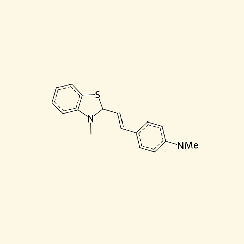 CNc1ccc(C=CC2Sc3ccccc3N2C)cc1